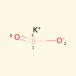 O=B[O-].[K+]